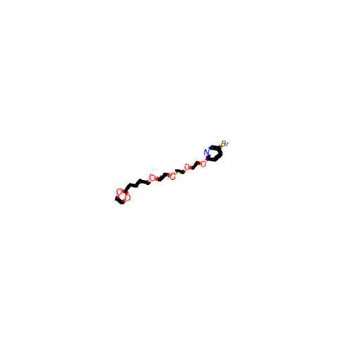 Brc1ccc(OCCOCCOCCOCCCCC2OCCO2)nc1